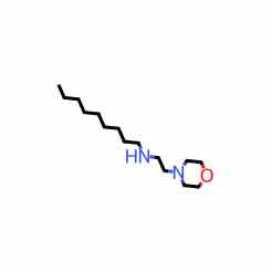 CCCCCCCCCNCCN1CCOCC1